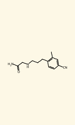 Cc1cc(C#N)ccc1CCCNCC(N)=O